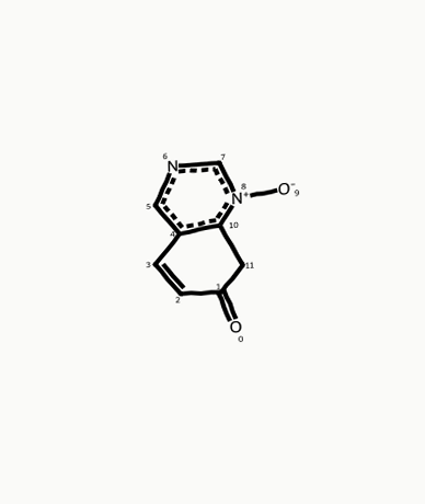 O=C1C=Cc2cnc[n+]([O-])c2C1